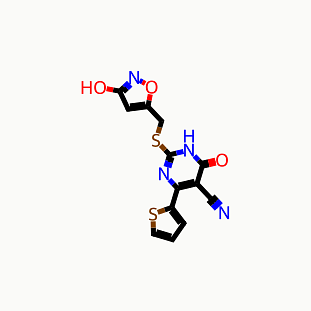 N#Cc1c(-c2cccs2)nc(SCc2cc(O)no2)[nH]c1=O